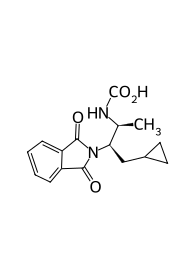 C[C@H](NC(=O)O)[C@@H](CC1CC1)N1C(=O)c2ccccc2C1=O